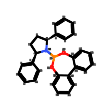 c1ccc([C@H]2CC[C@H](c3ccccc3)N2p2oc3ccccc3c3ccccc3o2)cc1